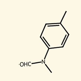 Cc1ccc(N(C)[C]=O)cc1